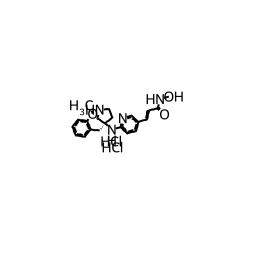 COc1ccccc1C[C@@]1(Nc2ccc(/C=C/C(=O)NO)cn2)CCNC1.Cl.Cl